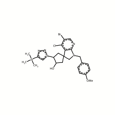 COc1ccc(CN2CC3(CC(O)C(n4cc([Si](C)(C)C)nn4)C3)c3c2ncc(Br)c3Cl)cc1